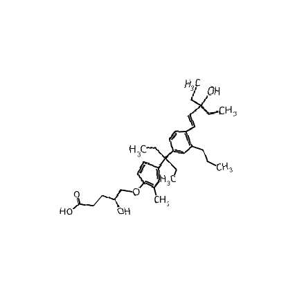 CCCc1cc(C(CC)(CC)c2ccc(OC[C@@H](O)CCC(=O)O)c(C)c2)ccc1/C=C/C(O)(CC)CC